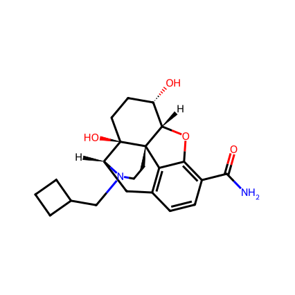 NC(=O)c1ccc2c3c1O[C@H]1[C@@H](O)CC[C@@]4(O)[C@@H](C2)N(CC2CCC2)CC[C@]314